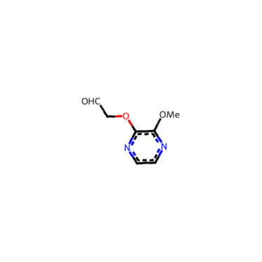 COc1nccnc1OCC=O